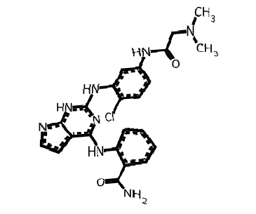 CN(C)CC(=O)Nc1ccc(Cl)c(Nc2nc(Nc3ccccc3C(N)=O)c3ccnc-3[nH]2)c1